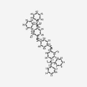 Cc1cc(S(C)(c2ccccc2)c2ccccc2)ccc1Sc1ccc(Sc2ccc(S(C)(c3ccccc3)c3ccccc3)cc2C)cc1